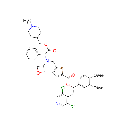 COc1ccc([C@H](Cc2c(Cl)cncc2Cl)OC(=O)c2ccc(CN(C3COC3)C(C(=O)OCC3CCN(C)CC3)c3ccccc3)s2)cc1OC